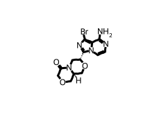 Nc1nccn2c([C@H]3CN4C(=O)COC[C@@H]4CO3)nc(Br)c12